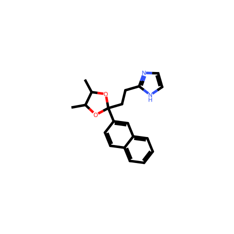 CC1OC(CCc2ncc[nH]2)(c2ccc3ccccc3c2)OC1C